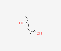 CCC(O)CCC(C)=CO